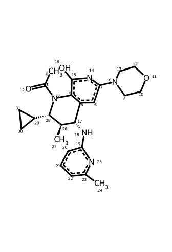 CC(=O)N1c2c(cc(N3CCOCC3)nc2O)[C@H](Nc2cccc(C)n2)[C@@H](C)[C@@H]1C1CC1